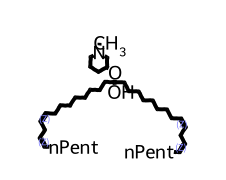 CCCCC/C=C\C/C=C\CCCCCCCCC(O)(CCCCCCCC/C=C\C/C=C\CCCCC)OC1CCCN(C)C1